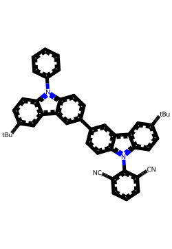 CC(C)(C)c1ccc2c(c1)c1cc(-c3ccc4c(c3)c3cc(C(C)(C)C)ccc3n4-c3c(C#N)cccc3C#N)ccc1n2-c1ccccc1